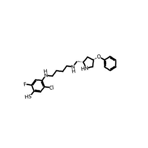 Fc1cc(NCCCCNC[C@@H]2C[C@H](Oc3ccccc3)CN2)c(Cl)cc1S